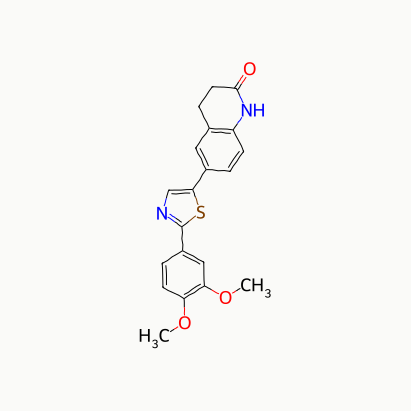 COc1ccc(-c2ncc(-c3ccc4c(c3)CCC(=O)N4)s2)cc1OC